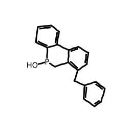 OP1Cc2c(Cc3ccccc3)cccc2-c2ccccc21